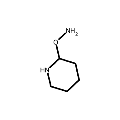 NOC1CCCCN1